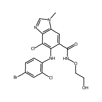 Cn1cnc2c(Cl)c(Nc3ccc(Br)cc3Cl)c(C(=O)NOCCO)cc21